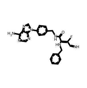 N=C/C(F)=C(\NCc1ccccc1)C(=O)NCc1ccc(-n2cnc3c(N)ncnc32)cc1